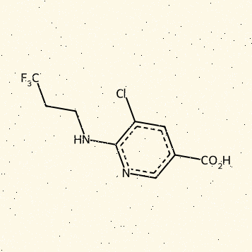 O=C(O)c1cnc(NCCC(F)(F)F)c(Cl)c1